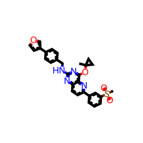 CC1(Oc2nc(NCc3ccc(-c4ccoc4)cc3)nc3ccc(-c4cccc(S(C)(=O)=O)c4)nc23)CC1